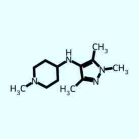 Cc1nn(C)c(C)c1NC1CCN(C)CC1